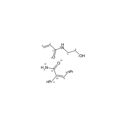 C=CC(=O)NCCO.CCCC=C(CCC)C(N)=O